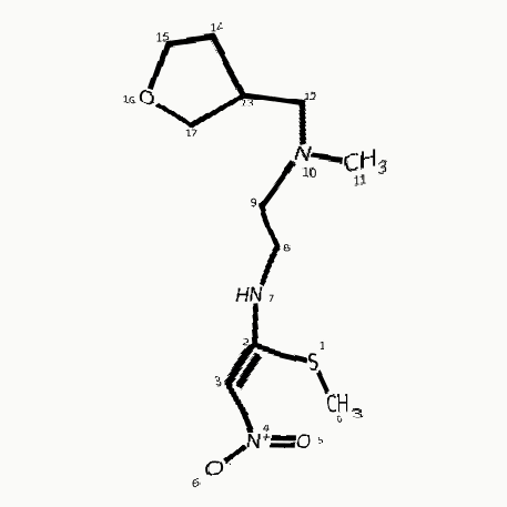 CSC(=C[N+](=O)[O-])NCCN(C)CC1CCOC1